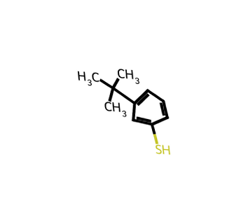 CC(C)(C)c1cccc(S)c1